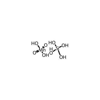 O[Si](O)(O)O.[O]=[Mn](=[O])([OH])[OH]